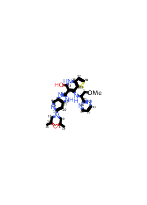 COCC(NC1=C(c2nc3cnc(N4CC(C)OC(C)C4)cc3[nH]2)C(O)Nc2ccsc21)c1ncccn1